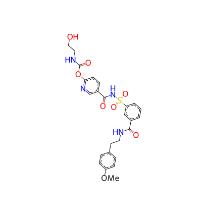 COc1ccc(CCNC(=O)c2cccc(S(=O)(=O)NC(=O)c3ccc(OC(=O)NCCO)nc3)c2)cc1